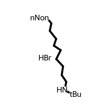 Br.CCCCCCCCCCCCCCCCCCNC(C)(C)C